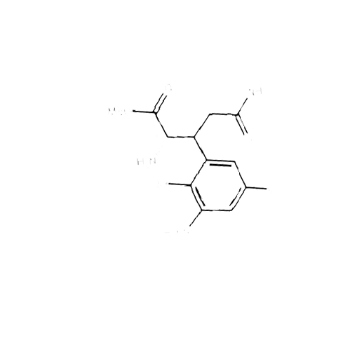 COC(=O)[C@@H](N)C(CC(N)=O)c1cc(Cl)cc(S(=O)(=O)O)c1O